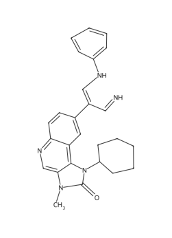 Cn1c(=O)n(C2CCCCC2)c2c3cc(/C(C=N)=C/Nc4ccccc4)ccc3ncc21